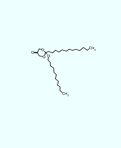 CCCCCCCCCCCCCC1(OCCCCCCCCCCCC)OCC(=O)CO1